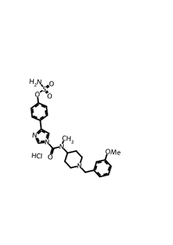 COc1cccc(CN2CCC(N(C)C(=O)n3cnc(-c4ccc(OS(N)(=O)=O)cc4)c3)CC2)c1.Cl